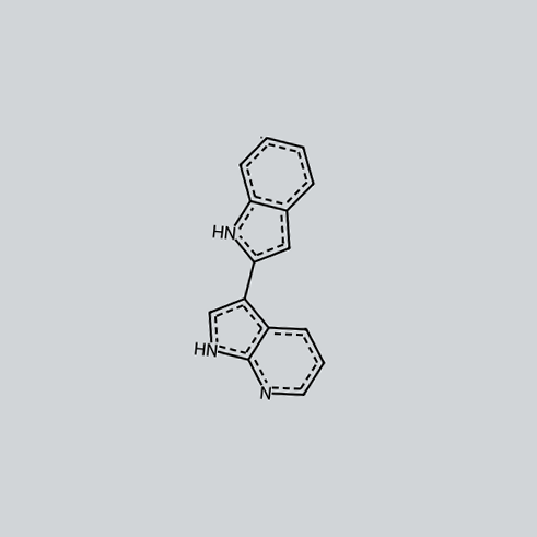 [c]1ccc2cc(-c3c[nH]c4ncccc34)[nH]c2c1